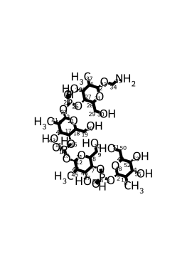 CC1[C@@H](O[PH](=O)O[C@@H]2C(CO)O[C@H](O[PH](=O)O[C@@H]3C(CO)O[C@H](O[PH](=O)O[C@@H]4C(CO)O[C@H](OCN)C(C)[C@H]4O)C(C)[C@H]3O)C(C)[C@H]2O)OC(CO)[C@@H](O)[C@@H]1O